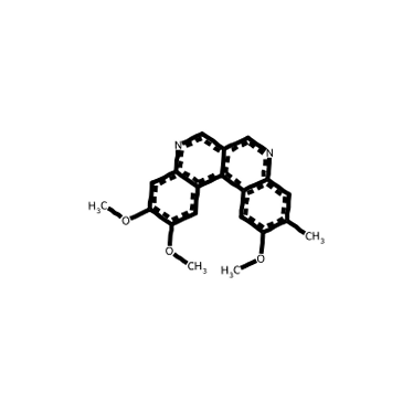 COc1cc2c(cc1C)ncc1cnc3cc(OC)c(OC)cc3c12